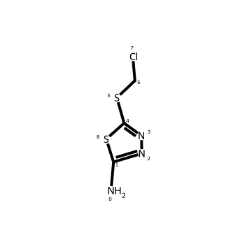 Nc1nnc(SCCl)s1